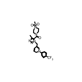 Cc1nnn(CC2=CN(c3ccc(C(F)(F)F)cc3)CC=C2)c1C(=O)N1CCN(S(C)(=O)=O)CC1